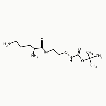 CC(C)(C)OC(=O)NOCCNC(=O)[C@@H](N)CCCN